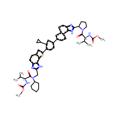 COC(=O)N[C@H](C(=O)N(Cc1nc2ccc3cc(-c4ccc(-c5ccc6c(ccc7nc(C8CCCN8C(=O)[C@@H](NC(=O)OC)C(C)C)[nH]c76)c5)cc4C4CC4)sc3c2[nH]1)C1CCCCC1)C(C)C